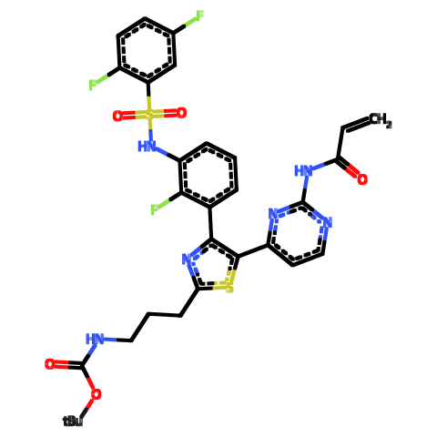 C=CC(=O)Nc1nccc(-c2sc(CCCNC(=O)OC(C)(C)C)nc2-c2cccc(NS(=O)(=O)c3cc(F)ccc3F)c2F)n1